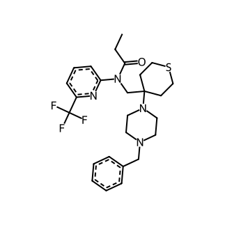 CCC(=O)N(CC1(N2CCN(Cc3ccccc3)CC2)CCSCC1)c1cccc(C(F)(F)F)n1